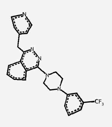 FC(F)(F)c1cccc(N2CCN(c3nnc(Cc4ccncc4)c4ccccc34)CC2)c1